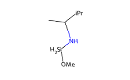 CO[SiH2]NC(C)C(C)C